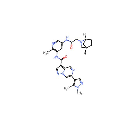 Cc1ncc(NC(=O)CN2C[C@H]3CC[C@@H]2C3)cc1NC(=O)c1cnn2cc(-c3cnn(C)c3C)ncc12